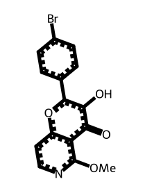 COc1nccc2oc(-c3ccc(Br)cc3)c(O)c(=O)c12